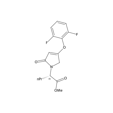 CCC[C@@H](C(=O)OC)N1CC(Oc2c(F)cccc2F)=CC1=O